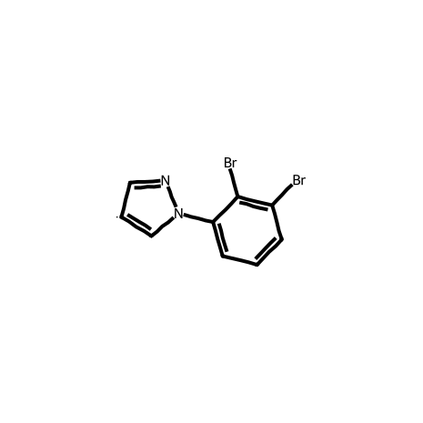 Brc1cccc(-n2c[c]cn2)c1Br